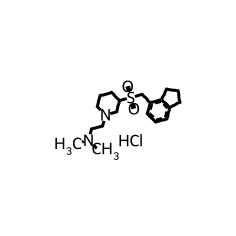 CN(C)CCN1CCCC(S(=O)(=O)Cc2cccc3c2CCC3)C1.Cl